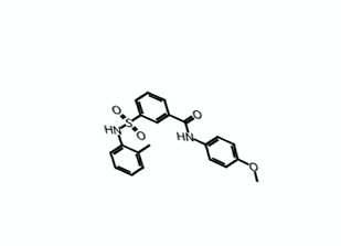 COc1ccc(NC(=O)c2cccc(S(=O)(=O)Nc3ccccc3C)c2)cc1